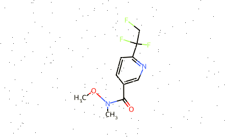 CON(C)C(=O)c1ccc(C(F)(F)CF)nc1